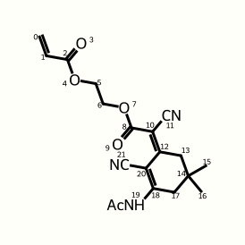 C=CC(=O)OCCOC(=O)/C(C#N)=C1/CC(C)(C)CC(NC(C)=O)=C1C#N